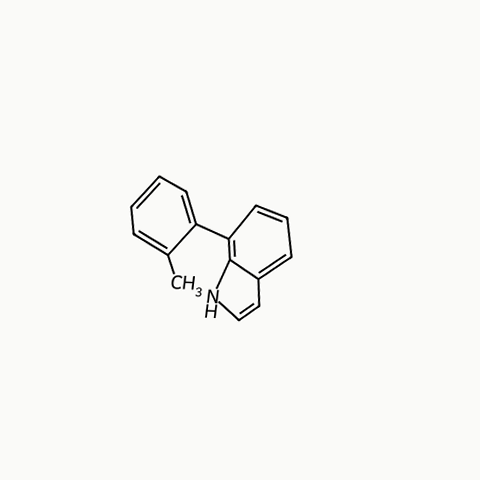 Cc1ccccc1-c1cccc2cc[nH]c12